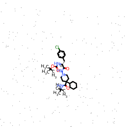 CC(C)(C)NC(=O)C1(C2CCCCC2)CCN(NC(=O)[C@@H](Cc2ccc(Cl)cc2)NC(=O)OC(C)(C)C)CC1